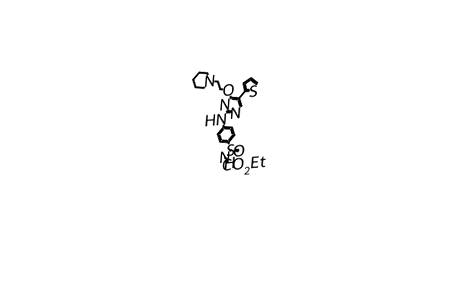 CCOC(=O)N=[SH](=O)c1ccc(Nc2ncc(-c3cccs3)c(OCCN3CCCCC3)n2)cc1